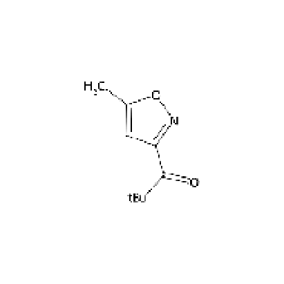 Cc1cc(C(=O)C(C)(C)C)no1